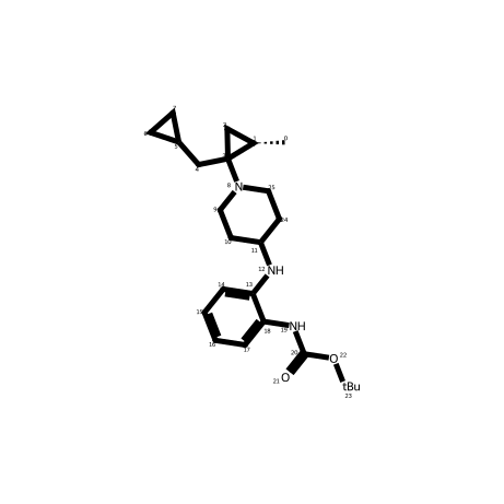 C[C@H]1CC1(CC1CC1)N1CCC(Nc2ccccc2NC(=O)OC(C)(C)C)CC1